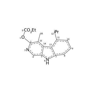 CCOC(=O)Oc1ncc2[nH]c3cccc(C(C)C)c3c2c1C